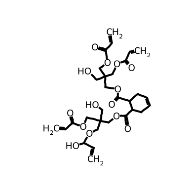 C=CC(=O)OCC(CO)(COC(=O)C=C)COC(=O)C1CC=CCC1C(=O)OCC(CO)(COC(=O)C=C)COC(O)C=C